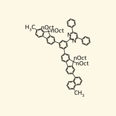 CCCCCCCCC1(CCCCCCCC)c2cc(C)ccc2-c2ccc(-c3cc(-c4ccc5c(c4)C(CCCCCCCC)(CCCCCCCC)c4cc(-c6cccc7c(C)cccc67)ccc4-5)cc(-c4nc(-c5ccccc5)cc(-c5ccccc5)n4)c3)cc21